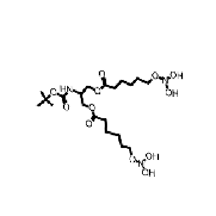 CC(C)(C)OC(=O)NC(COC(=O)CCCCCON(O)O)COC(=O)CCCCCON(O)O